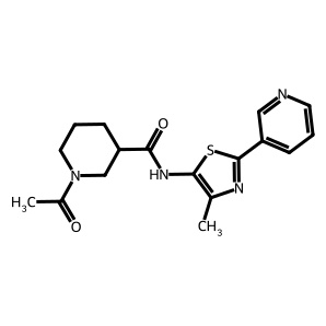 CC(=O)N1CCCC(C(=O)Nc2sc(-c3cccnc3)nc2C)C1